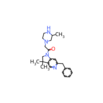 CC1CN(CC(=O)N2CC(C)(C)c3cnc(Cc4ccccc4)cc32)CCN1